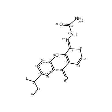 CCC(C)c1ccc(OC2=C(C=O)C=CCC2=NNC(N)=O)cc1